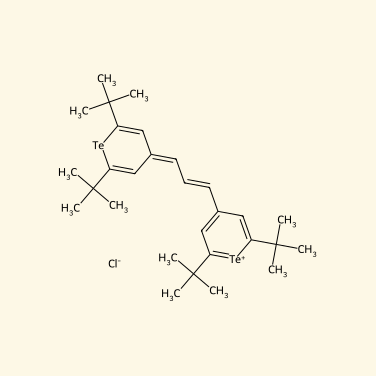 CC(C)(C)C1=CC(=C/C=C/c2cc(C(C)(C)C)[te+]c(C(C)(C)C)c2)C=C(C(C)(C)C)[Te]1.[Cl-]